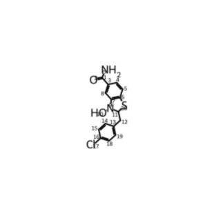 NC(=O)c1ccc2c(c1)N(O)C(Cc1ccc(Cl)cc1)S2